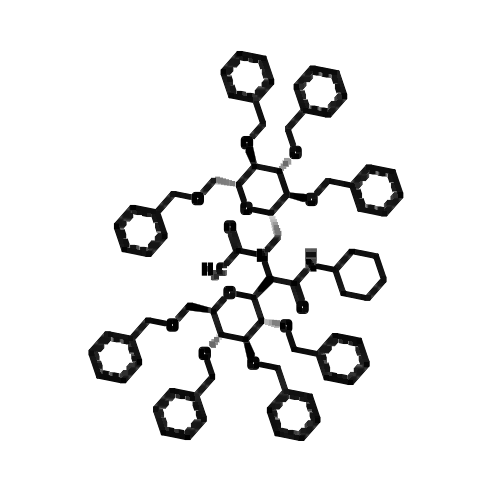 CC(=O)N(C[C@@H]1O[C@H](COCc2ccccc2)[C@@H](OCc2ccccc2)[C@H](OCc2ccccc2)[C@H]1OCc1ccccc1)C(C(=O)NC1CCCCC1)[C@@H]1O[C@H](COCc2ccccc2)[C@@H](OCc2ccccc2)[C@H](OCc2ccccc2)[C@H]1OCc1ccccc1